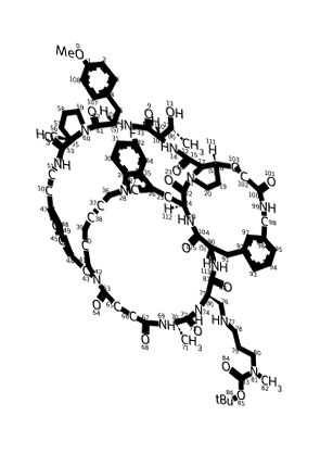 COc1ccc(C[C@@H]2NC(=O)[C@H]([C@@H](C)O)NC(=O)C3[C@@H]4CCN3C(=O)[C@@H]3Cc5cn(c6ccc(F)cc56)CCCCCCN(Cc5ccc(cc5)CCNC(=O)[C@]5(C)CCCN5C2=O)C(=O)CCC(=O)N[C@@H](C)C(=O)N[C@H](CNCCCN(C)C(=O)OC(C)(C)C)C(=O)N[C@@H](Cc2cccc(c2)CNC(=O)CO4)C(=O)N3)cc1